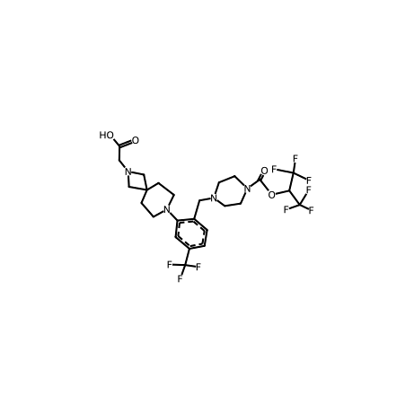 O=C(O)CN1CC2(CCN(c3cc(C(F)(F)F)ccc3CN3CCN(C(=O)OC(C(F)(F)F)C(F)(F)F)CC3)CC2)C1